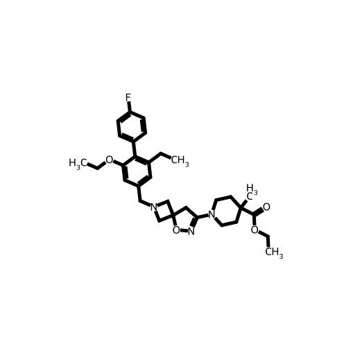 CCOC(=O)C1(C)CCN(C2=NOC3(C2)CN(Cc2cc(CC)c(-c4ccc(F)cc4)c(OCC)c2)C3)CC1